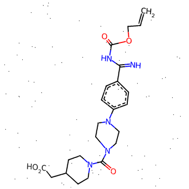 C=CCOC(=O)NC(=N)c1ccc(N2CCN(C(=O)N3CCC(CC(=O)O)CC3)CC2)cc1